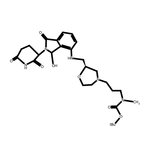 CN(CCCN1CCO[C@@H](CNc2cccc3c2C(O)N(C2CCC(=O)NC2=O)C3=O)C1)C(=O)OC(C)(C)C